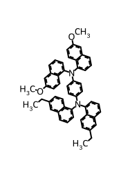 CCc1ccc2c(N(c3ccc(N(c4cccc5cc(OC)ccc45)c4cccc5cc(OC)ccc45)cc3)c3cccc4cc(CC)ccc34)cccc2c1